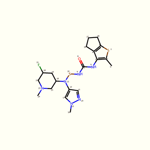 Cc1sc2c(c1NC(=O)NSN(c1cnn(C)c1)C1CC(F)CN(C)C1)CCC2